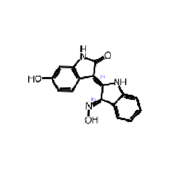 O=C1Nc2cc(O)ccc2/C1=C1/Nc2ccccc2/C1=N\O